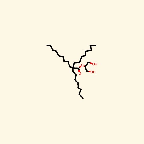 CCCCCCCCCC(CCCCCCCC)(CCCCCCCC)C(=O)OC(CO)CO